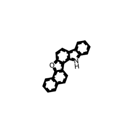 c1ccc2c(c1)ccc1c2oc2ccc3c4ccccc4[nH]c3c21